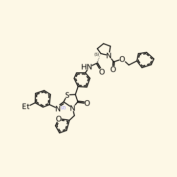 CCc1cccc(/N=C2\SC(c3ccc(NC(=O)[C@@H]4CCCN4C(=O)OCc4ccccc4)cc3)C(=O)N2Cc2ccco2)c1